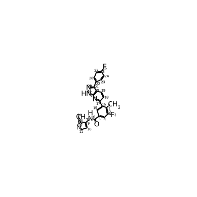 Cc1c(F)cc(C(=O)Nc2ccnn2C)cc1-c1ccc2c(-c3ccc(F)cc3)n[nH]c2n1